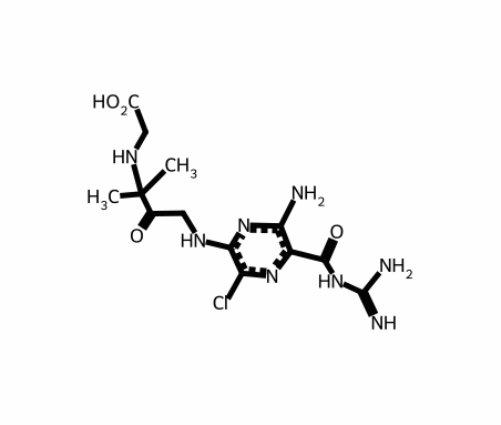 CC(C)(NCC(=O)O)C(=O)CNc1nc(N)c(C(=O)NC(=N)N)nc1Cl